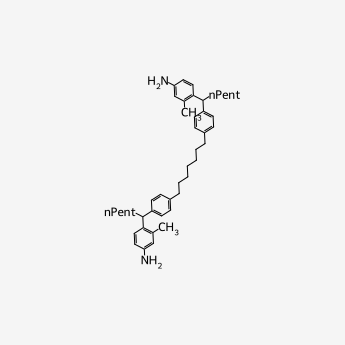 CCCCCC(c1ccc(CCCCCCCc2ccc(C(CCCCC)c3ccc(N)cc3C)cc2)cc1)c1ccc(N)cc1C